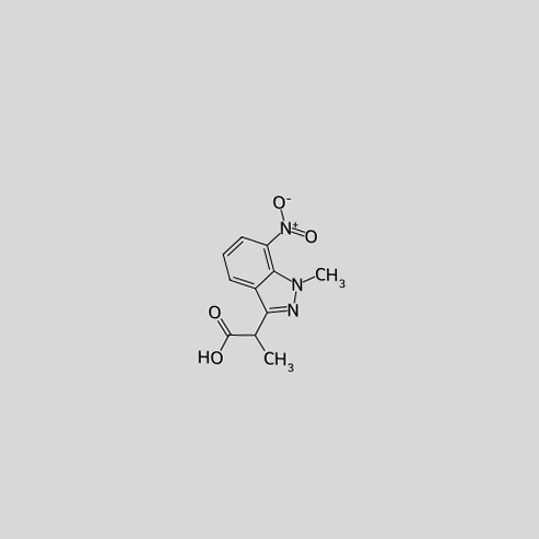 CC(C(=O)O)c1nn(C)c2c([N+](=O)[O-])cccc12